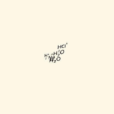 Cl.O.O.[H+].[NaH]